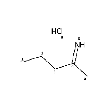 Cl.[CH2]CCC(C)=N